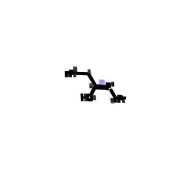 CCCC/C(O)=P/CCC